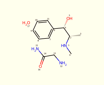 CN[C@@H](C)[C@@H](O)c1ccccc1.NCC(N)=O.O